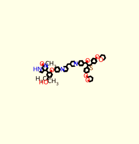 Cn1cc(-c2cc(C(C)(C)O)ccc2Oc2ccc(N3C=CC=C(CC4CCN(c5ccc(C(=O)c6c(-c7ccc(OC8CCCCO8)cc7)sc7cc(OC8CCCCO8)ccc67)cc5)CC4)C3)cc2)c2cc[nH]c2c1=O